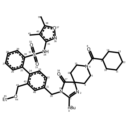 CCCCC1=NC2(CCN(C(=O)C3CCCCC3)CC2)C(=O)N1Cc1ccc(-c2ccccc2S(=O)(=O)Nc2noc(C)c2C)c(COCC)c1